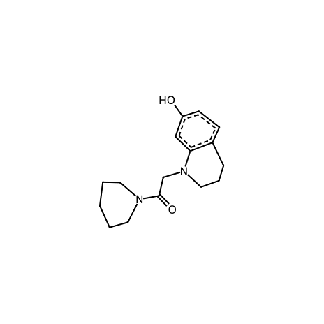 O=C(CN1CCCc2ccc(O)cc21)N1CCCCC1